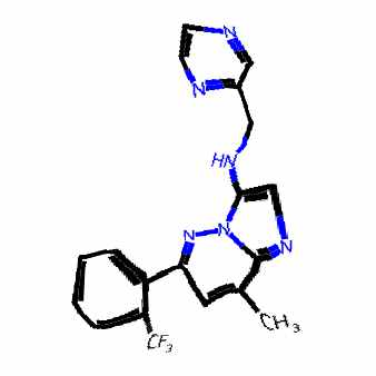 Cc1cc(-c2ccccc2C(F)(F)F)nn2c(NCc3cnccn3)cnc12